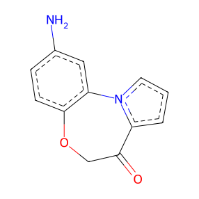 Nc1ccc2c(c1)-n1cccc1C(=O)CO2